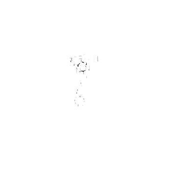 CCc1c(C)nc(OCCCN2CCOCC2)nc1N(CC)CC